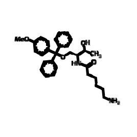 COc1ccc(C(OC[C@H](NC(=O)CCCCCN)[C@H](C)O)(c2ccccc2)c2ccccc2)cc1